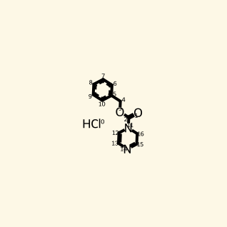 Cl.O=C(OCc1ccccc1)N1C=CN=CC1